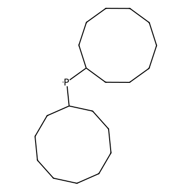 C1CCCCC([P]C2CCCCCCCCC2)CCCC1